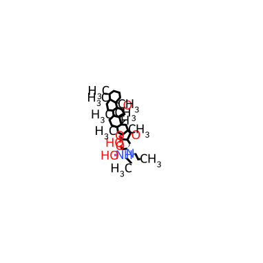 CCCN(CCC)[C@@H](CC(C(=O)O)C(=O)C1(C)CC[C@]2(C)CC[C@]3(C)C(=CC(=O)C4[C@@]5(C)CCCC(C)(C)C5CC[C@]43C)[C@@H]2C1)C(=O)NO